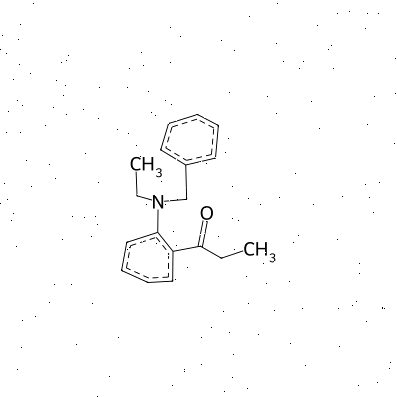 CCC(=O)c1ccccc1N(CC)Cc1ccccc1